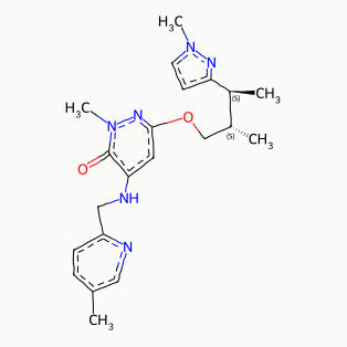 Cc1ccc(CNc2cc(OC[C@@H](C)[C@H](C)c3ccn(C)n3)nn(C)c2=O)nc1